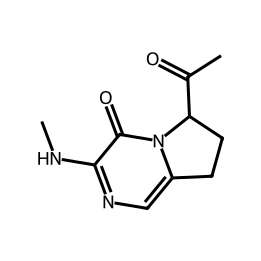 CNc1ncc2n(c1=O)C(C(C)=O)CC2